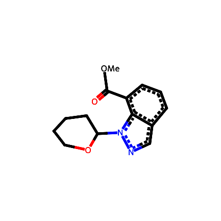 COC(=O)c1cccc2cnn(C3CCCCO3)c12